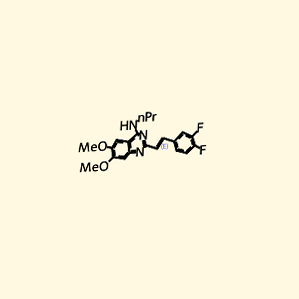 CCCNc1nc(/C=C/c2ccc(F)c(F)c2)nc2cc(OC)c(OC)cc12